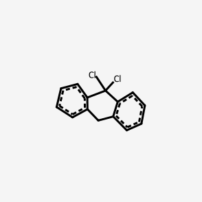 ClC1(Cl)c2ccccc2Cc2ccccc21